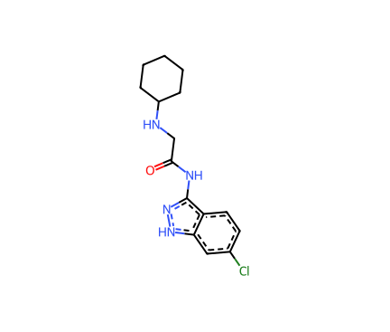 O=C(CNC1CCCCC1)Nc1n[nH]c2cc(Cl)ccc12